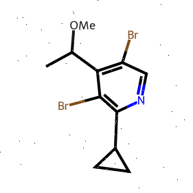 COC(C)c1c(Br)cnc(C2CC2)c1Br